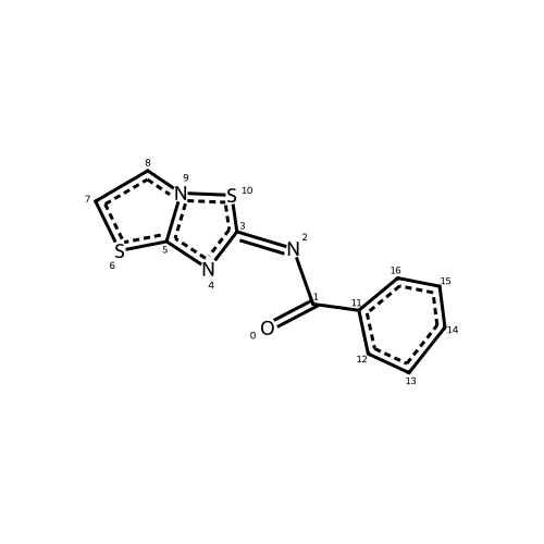 O=C(N=c1nc2sccn2s1)c1ccccc1